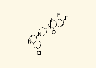 O=C(NC1CCN(c2ccnc3cc(Cl)ccc23)CC1)c1ccc(F)c(F)c1F